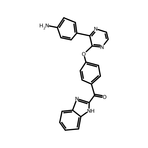 Nc1ccc(-c2nccnc2Oc2ccc(C(=O)c3nc4ccccc4[nH]3)cc2)cc1